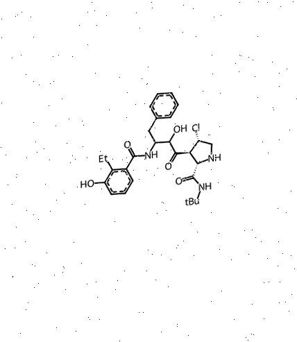 CCc1c(O)cccc1C(=O)NC(Cc1ccccc1)C(O)C(=O)[C@H]1[C@H](Cl)CN[C@@H]1C(=O)NC(C)(C)C